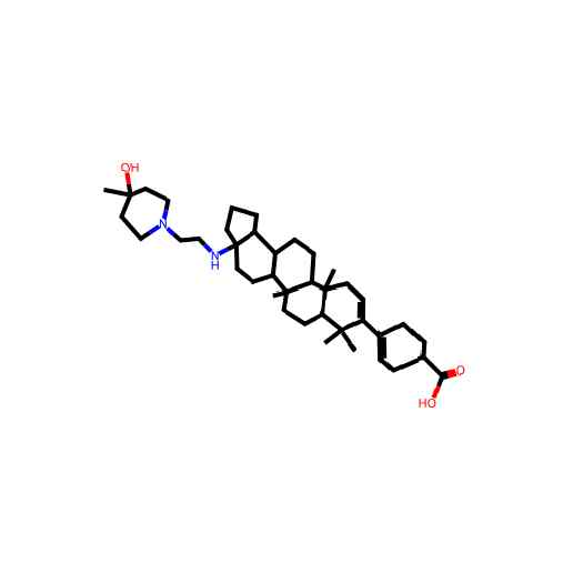 CC1(O)CCN(CCNC23CCCC2C2CCC4C(C)(CCC5C(C)(C)C(C6=CCC(C(=O)O)CC6)=CCC54C)C2CC3)CC1